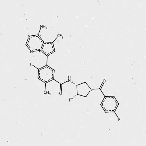 Cc1cc(F)c(-c2cc(C(F)(F)F)c3c(N)ncnn23)cc1C(=O)N[C@@H]1CN(C(=O)c2ccc(F)cc2)C[C@@H]1F